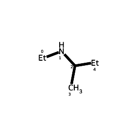 [CH2]CNC(C)CC